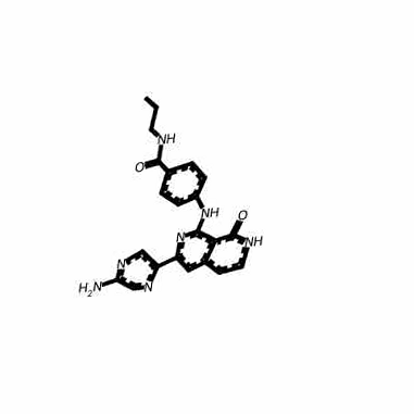 CCCNC(=O)c1ccc(Nc2nc(-c3cnc(N)cn3)cc3cc[nH]c(=O)c23)cc1